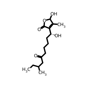 CCC(C)CC(=O)CCCC[C@@H](O)C1=C(C)C(O)OC1=O